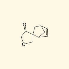 O=C1COCC12CC1C=CC2C1